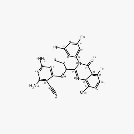 CCC(Nc1nc(N)nc(N)c1C#N)c1nc2c(Cl)ccc(F)c2c(=O)n1-c1cc(F)cc(F)c1